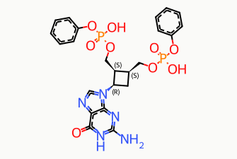 Nc1nc2c(ncn2[C@@H]2C[C@H](COP(=O)(O)Oc3ccccc3)[C@@H]2COP(=O)(O)Oc2ccccc2)c(=O)[nH]1